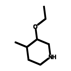 CCOC1CNCCC1C